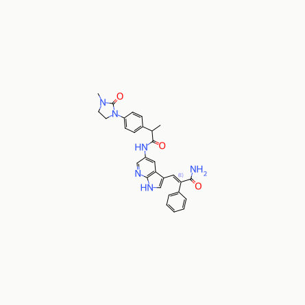 CC(C(=O)Nc1cnc2[nH]cc(/C=C(/C(N)=O)c3ccccc3)c2c1)c1ccc(N2CCN(C)C2=O)cc1